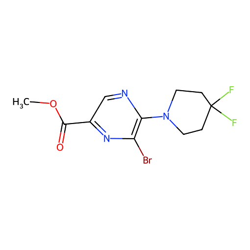 COC(=O)c1cnc(N2CCC(F)(F)CC2)c(Br)n1